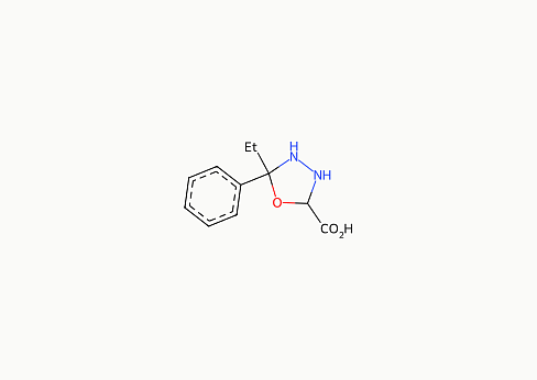 CCC1(c2ccccc2)NNC(C(=O)O)O1